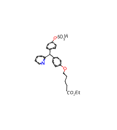 CCOC(=O)CCCCCOc1ccc(C(c2ccc(OS(=O)(=O)O)cc2)c2ccccn2)cc1